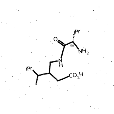 CC(C)C(C)C(CNC(=O)[C@@H](N)C(C)C)CC(=O)O